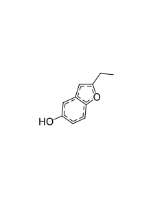 CCc1cc2cc(O)ccc2o1